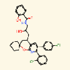 O=C(NCC(O)CC1CC2(CCCCC2)Oc2nc(-c3ccccc3Cl)c(-c3ccc(Cl)cc3)cc21)c1ccccc1O